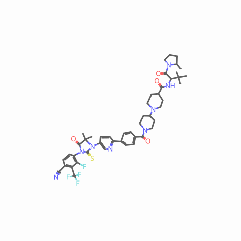 CC1CCCN1C(=O)C(NC(=O)C1CCN(C2CCN(C(=O)c3ccc(-c4ccc(N5C(=S)N(c6ccc(C#N)c(C(F)(F)F)c6F)C(=O)C5(C)C)cn4)cc3)CC2)CC1)C(C)(C)C